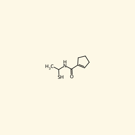 CC(S)NC(=O)C1=CCCC1